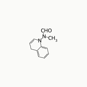 CN(C=O)N1C=CCc2ccccc21